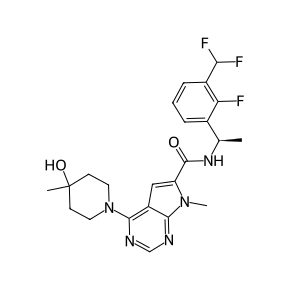 C[C@@H](NC(=O)c1cc2c(N3CCC(C)(O)CC3)ncnc2n1C)c1cccc(C(F)F)c1F